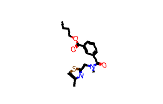 CCCCOC(=O)c1cccc(C(=O)N(C)Cc2nc(C)cs2)c1